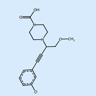 COCC(C#Cc1cccc(Cl)c1)N1CCN(C(=O)O)CC1